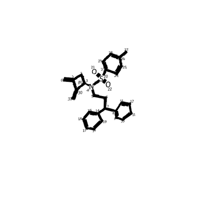 C=C1C[C@@H](N(CCC(c2ccccc2)c2ccccc2)S(=O)(=O)c2ccc(C)cc2)C1=C